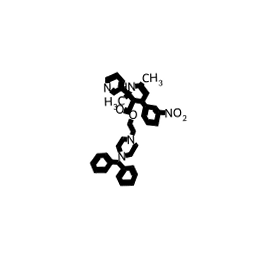 CC1=CC(c2cccc([N+](=O)[O-])c2)C(C(=O)OCCN2CCN(C(c3ccccc3)c3ccccc3)CC2)C(C)(c2cccnc2)N1